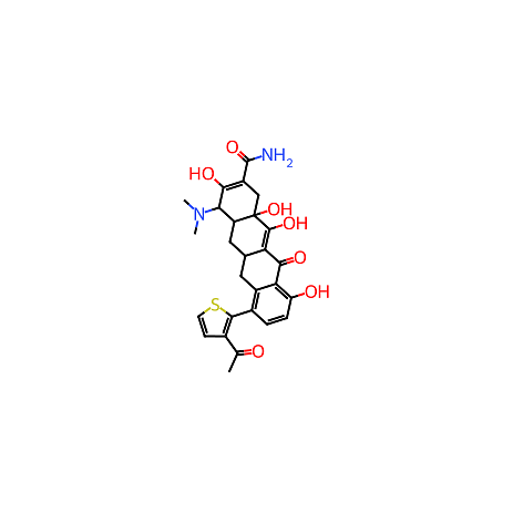 CC(=O)c1ccsc1-c1ccc(O)c2c1CC1CC3C(N(C)C)C(O)=C(C(N)=O)CC3(O)C(O)=C1C2=O